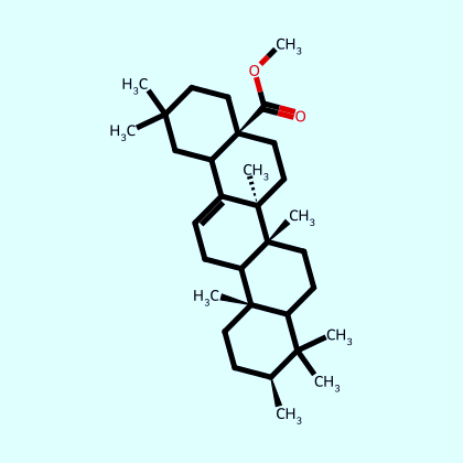 COC(=O)[C@]12CCC(C)(C)CC1C1=CCC3[C@@]4(C)CC[C@H](C)C(C)(C)C4CC[C@@]3(C)[C@]1(C)CC2